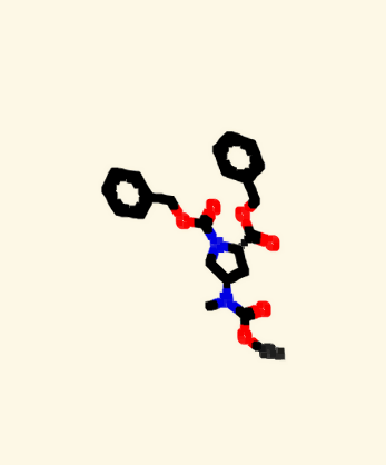 CN(C(=O)OC(C)(C)C)[C@@H]1C[C@@H](C(=O)OCc2ccccc2)N(C(=O)OCc2ccccc2)C1